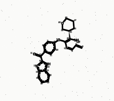 C=C/C=N\C(Oc1ccc(C(=O)c2nc3ccccc3[nH]2)cc1)=C(/N)[C@H]1CCCOC1